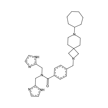 O=C(c1ccc(CN2CC3(CCN(C4CCCCCC4)CC3)C2)cc1)N(Cc1ncc[nH]1)Cc1ncc[nH]1